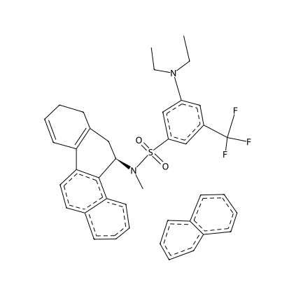 CCN(CC)c1cc(C(F)(F)F)cc(S(=O)(=O)N(C)[C@@H]2CC3=C(C=CCC3)c3ccc4ccccc4c32)c1.c1ccc2ccccc2c1